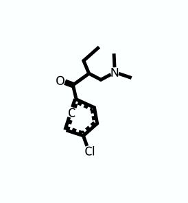 CCC(CN(C)C)C(=O)c1ccc(Cl)cc1